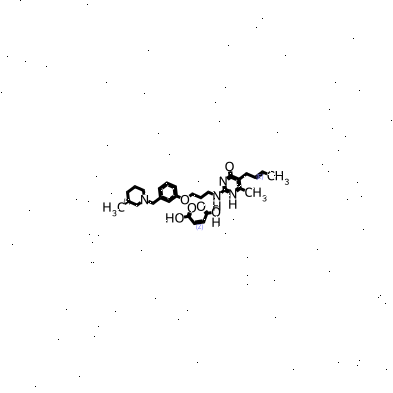 C/C=C/Cc1c(C)[nH]c(NCCCOc2cccc(CN3CCC[C@H](C)C3)c2)nc1=O.O=C(O)/C=C\C(=O)O